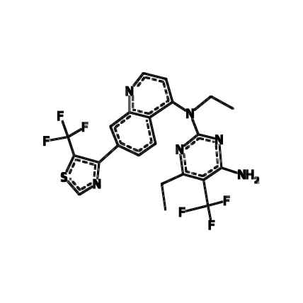 CCc1nc(N(CC)c2ccnc3cc(-c4ncsc4C(F)(F)F)ccc23)nc(N)c1C(F)(F)F